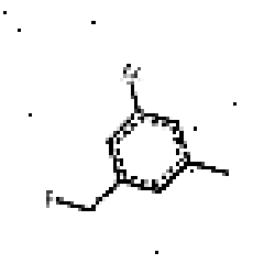 CC(=O)c1cc(C)cc(CF)c1